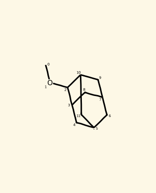 COC1C2C[C]3CC(C2)CC1C3